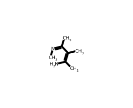 C/N=C(C)\C(C)=C(\C)N